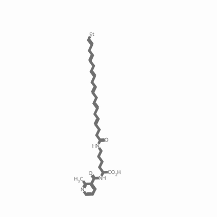 CCC=CCC=CCC=CCC=CCC=CCC=CCCC(=O)NCCCCC(NC(=O)c1cccnc1C)C(=O)O